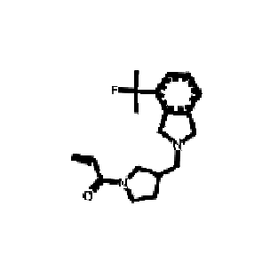 C=CC(=O)N1CCC(CN2Cc3cccc(C(C)(C)F)c3C2)C1